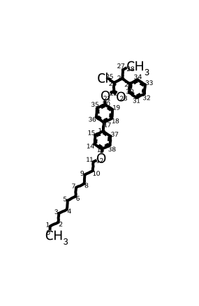 CCCCCCCCCCCCOc1ccc(-c2ccc(OC(=O)C(Cl)C(CC)c3ccccc3)cc2)cc1